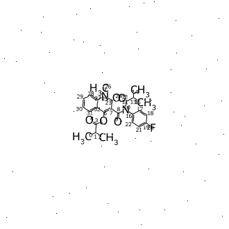 CC(C)C(=O)Oc1c(C(=O)N(C(=O)C(C)C)c2ccc(F)cc2)c(=O)n(C)c2ccccc12